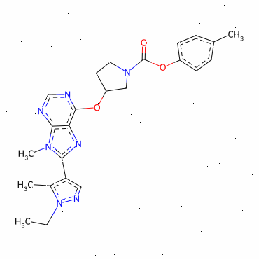 CCn1ncc(-c2nc3c(OC4CCN(C(=O)Oc5ccc(C)cc5)C4)ncnc3n2C)c1C